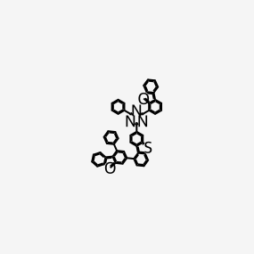 c1ccc(-c2nc(-c3ccc4c(c3)sc3cccc(-c5cc(-c6ccccc6)c6c(c5)oc5ccccc56)c34)nc(-c3cccc4c3oc3ccccc34)n2)cc1